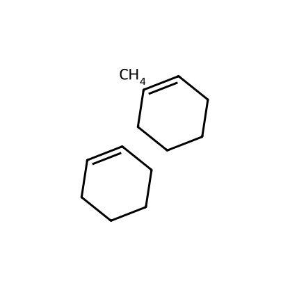 C.C1=CCCCC1.C1=CCCCC1